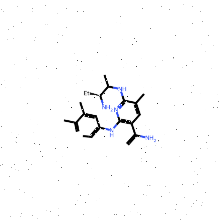 C=C(C)/C(C)=C\C(=C/C)Nc1nc(NC(C)[C@@H](N)CC)c(C)cc1C(=C)N